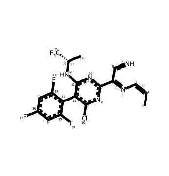 C/C=C\N=C(/C=N)c1nc(Cl)c(-c2c(F)cc(F)cc2F)c(N[C@@H](C)C(F)(F)F)n1